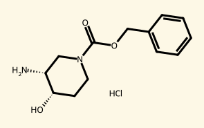 Cl.N[C@@H]1CN(C(=O)OCc2ccccc2)CC[C@@H]1O